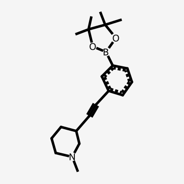 CN1CCCC(C#Cc2cccc(B3OC(C)(C)C(C)(C)O3)c2)C1